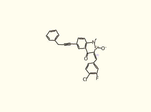 CN1c2ccc(C#CCc3ccccc3)cc2C(=O)/C(=C\c2ccc(Cl)c(F)c2)[S+]1[O-]